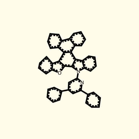 c1ccc(-c2cc(-c3ccccc3)nc(-n3c4ccccc4c4c5c6ccccc6c6ccccc6c5c5c6ccccc6oc5c43)c2)cc1